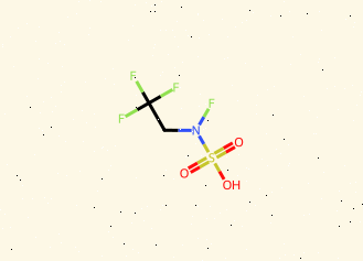 O=S(=O)(O)N(F)CC(F)(F)F